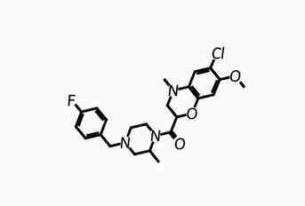 COc1cc2c(cc1Cl)N(C)CC(C(=O)N1CCN(Cc3ccc(F)cc3)CC1C)O2